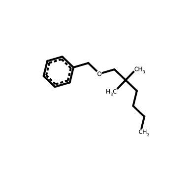 CCCCC(C)(C)COCc1ccccc1